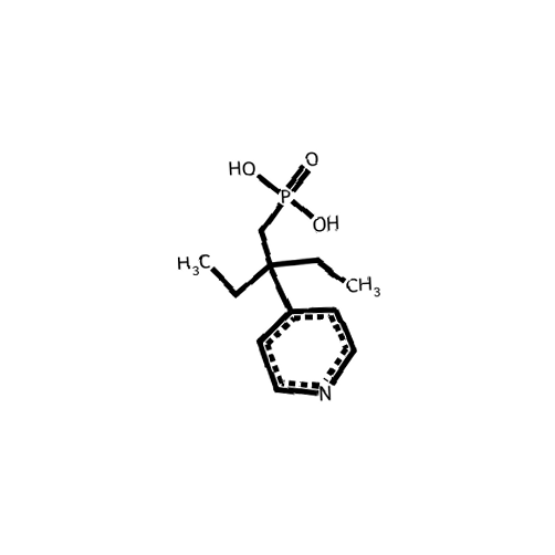 CCC(CC)(CP(=O)(O)O)c1ccncc1